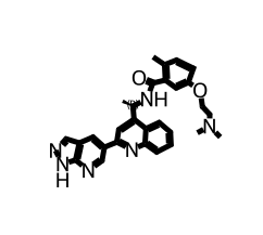 Cc1ccc(OCCN(C)C)cc1C(=O)N[C@H](C)c1cc(-c2cnc3[nH]ncc3c2)nc2ccccc12